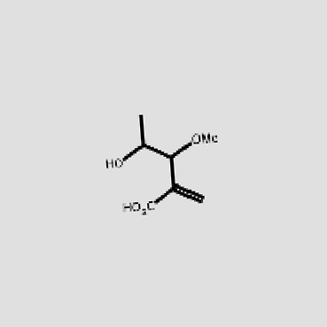 C=C(C(=O)O)C(OC)C(C)O